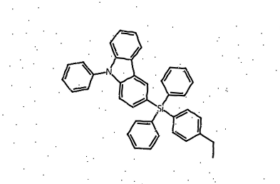 CCc1ccc([Si](c2ccccc2)(c2ccccc2)c2ccc3c(c2)c2ccccc2n3-c2ccccc2)cc1